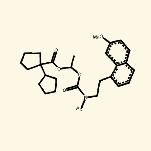 COc1ccc2cccc(CCN(C(C)=O)C(=O)OC(C)OC(=O)C3(C4CCCC4)CCCC3)c2c1